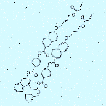 C=CC(=O)OCCCCOc1ccc2cc(C(=O)Oc3ccc(C(=O)Oc4cc(-c5c(OC(=O)c6ccc(OC(=O)c7ccc8cc(OCCCCOC(=O)C=C)ccc8c7)cc6)ccc6ccccc56)c5ccccc5c4)cc3)ccc2c1